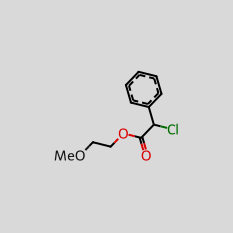 COCCOC(=O)C(Cl)c1ccccc1